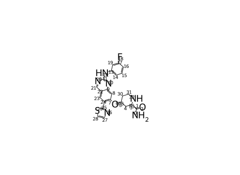 NC(=O)[C@H]1C[C@@H](Oc2cc3nc(Nc4cccc(F)c4)ncc3cc2-c2nccs2)CCN1